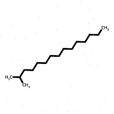 C[CH]CCCCCCCCCCCC(C)C